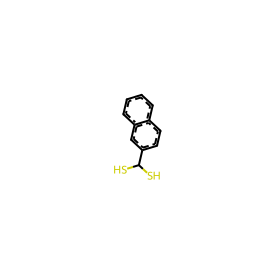 SC(S)c1ccc2ccccc2c1